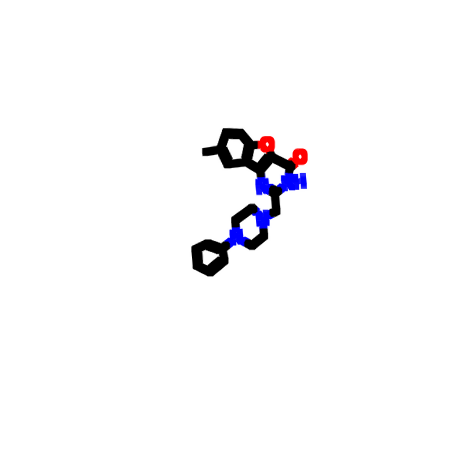 Cc1ccc2oc3c(=O)[nH]c(CN4CCN(c5ccccc5)CC4)nc3c2c1